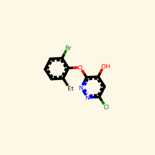 CCc1cccc(Br)c1Oc1nnc(Cl)cc1O